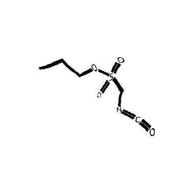 CCCOS(=O)(=O)CN=C=O